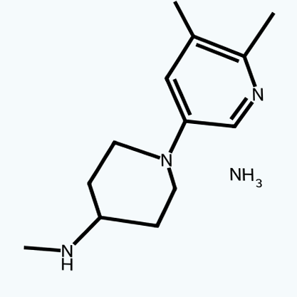 CNC1CCN(c2cnc(C)c(C)c2)CC1.N